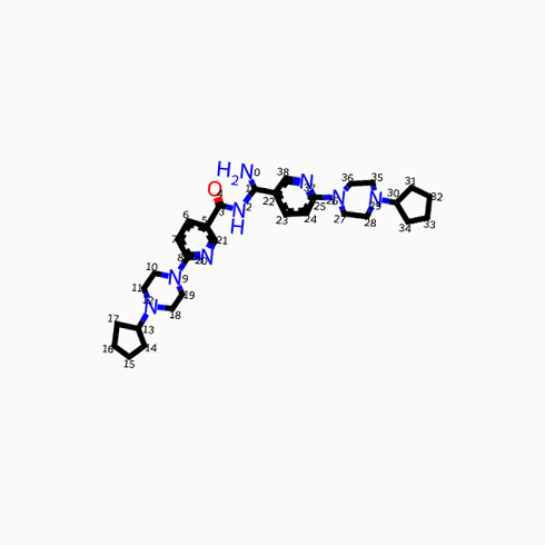 NC(NC(=O)c1ccc(N2CCN(C3CCCC3)CC2)nc1)c1ccc(N2CCN(C3CCCC3)CC2)nc1